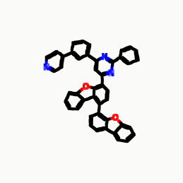 c1ccc(-c2nc(-c3cccc(-c4ccncc4)c3)cc(-c3ccc(-c4cccc5c4oc4ccccc45)c4c3oc3ccccc34)n2)cc1